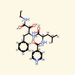 CCNC(=O)C(=O)C(Cc1ccccc1)NC(=O)C(CC(C)C)NC(=O)c1ccncc1